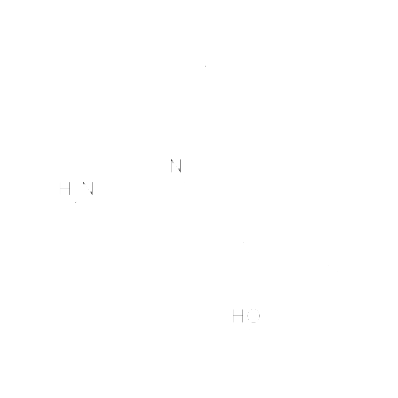 Nc1cccc(CC2CCC(O)C2)n1